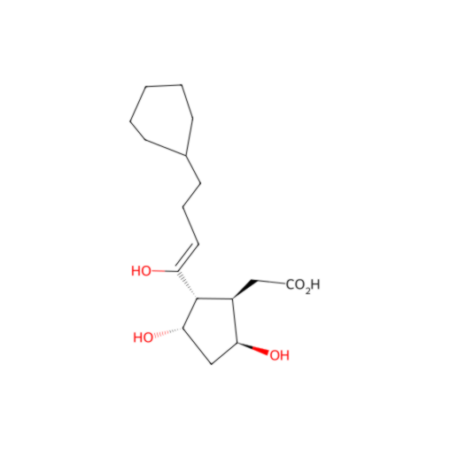 O=C(O)C[C@@H]1[C@@H](C(O)=CCCC2CCCCC2)[C@@H](O)C[C@@H]1O